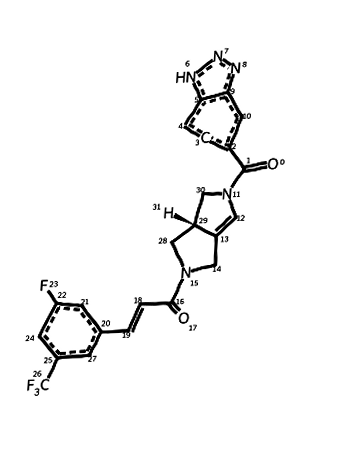 O=C(c1ccc2[nH]nnc2c1)N1C=C2CN(C(=O)/C=C/c3cc(F)cc(C(F)(F)F)c3)C[C@@H]2C1